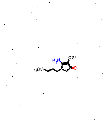 CCCCCCCCCCCC1CC(=O)C(OC(C)=O)=C1N